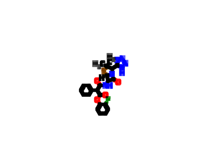 CC1(C)S[C@@H]2C(NC(=O)C(C(=O)Oc3ccccc3F)c3ccccc3)C(=O)N2C1c1nnn[nH]1